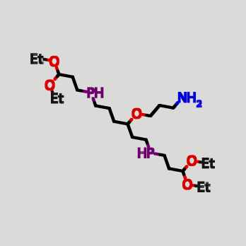 CCOC(CCPCCCC(CCPCCC(OCC)OCC)OCCCN)OCC